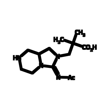 CC(=O)N=C1N(CC(C)(C)C(=O)O)CC2CNCCN12